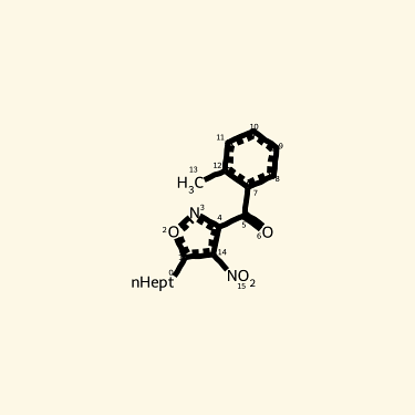 CCCCCCCc1onc(C(=O)c2ccccc2C)c1[N+](=O)[O-]